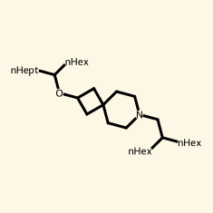 CCCCCCCC(CCCCCC)OC1CC2(CCN(CC(CCCCCC)CCCCCC)CC2)C1